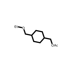 C[CH]OCC1CCC(COC(C)=O)CC1